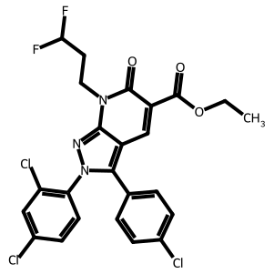 CCOC(=O)c1cc2c(-c3ccc(Cl)cc3)n(-c3ccc(Cl)cc3Cl)nc2n(CCC(F)F)c1=O